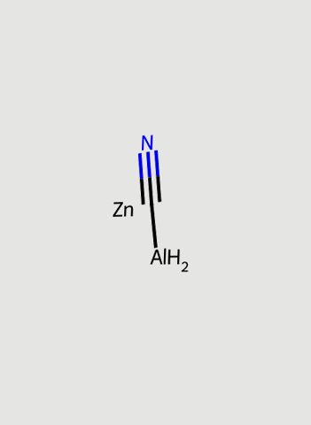 N#[C][AlH2].[Zn]